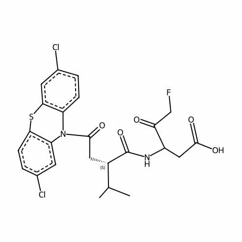 CC(C)[C@H](CC(=O)N1c2ccc(Cl)cc2Sc2ccc(Cl)cc21)C(=O)NC(CC(=O)O)C(=O)CF